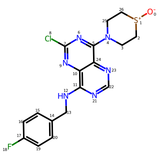 [O-][S+]1CCN(c2nc(Cl)nc3c(NCc4ccc(F)cc4)ncnc23)CC1